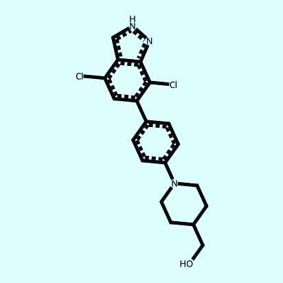 OCC1CCN(c2ccc(-c3cc(Cl)c4c[nH]nc4c3Cl)cc2)CC1